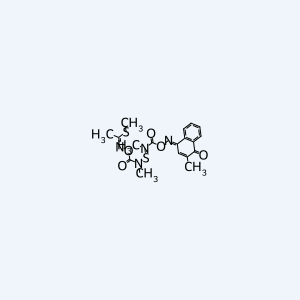 CSC(C)=NOC(=O)N(C)SN(C)C(=O)ON=C1C=C(C)C(=O)c2ccccc21